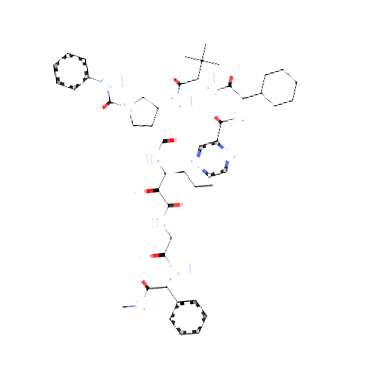 CCC[C@H](NC(=O)[C@@H]1CN(C(=O)Nc2ccccc2)C[C@@H]1NC(=O)[C@@H](NC(=O)[C@@H](NC(=O)c1cnccn1)C1CCCCC1)C(C)(C)C)C(=O)C(=O)NCC(=O)N[C@H](C(=O)NC)c1ccccc1